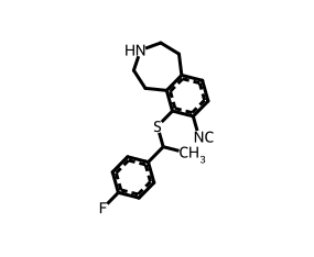 [C-]#[N+]c1ccc2c(c1SC(C)c1ccc(F)cc1)CCNCC2